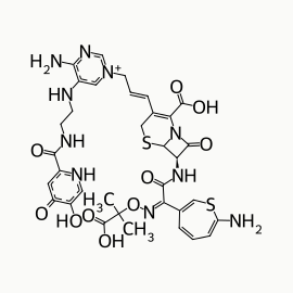 CC(C)(O/N=C(\C(=O)N[C@@H]1C(=O)N2C(C(=O)O)=C(/C=C/C[n+]3cnc(N)c(NCCNC(=O)c4cc(=O)c(O)c[nH]4)c3)CSC12)C1=CSC(N)=CC=C1)C(=O)O